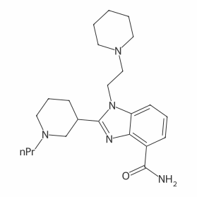 CCCN1CCCC(c2nc3c(C(N)=O)cccc3n2CCN2CCCCC2)C1